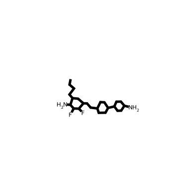 CCCCC1CC(CCC2CCC(C3CCC(N)CC3)CC2)C(F)C(F)C1N